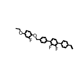 C=Cc1ccc(-c2ccc(-c3ccc(COc4ccc(OCC)cc4F)cc3)c(F)c2F)cc1